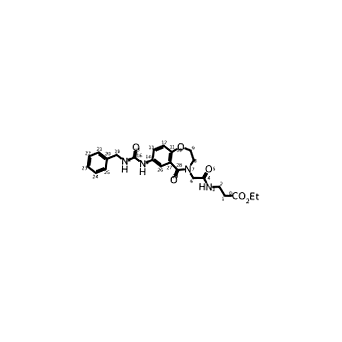 CCOC(=O)CCNC(=O)CN1CCOc2ccc(NC(=O)NCc3ccccc3)cc2C1=O